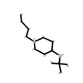 CCCCN1CCC(OC(C)(C)C)CC1